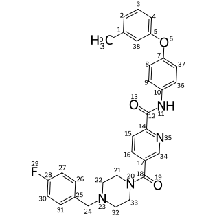 Cc1cccc(Oc2ccc(NC(=O)c3ccc(C(=O)N4CCN(Cc5ccc(F)cc5)CC4)cn3)cc2)c1